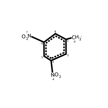 [CH2]c1cc([N+](=O)[O-])cc([N+](=O)[O-])c1